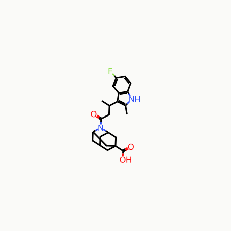 Cc1[nH]c2ccc(F)cc2c1C(C)CC(=O)N1C2CC3CC1CC(C(=O)O)(C3)C2